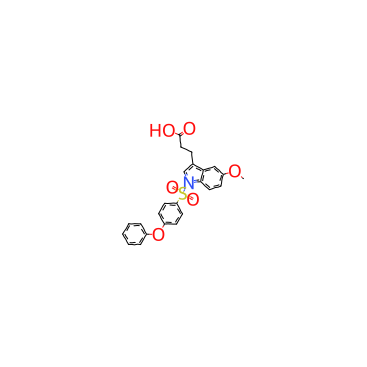 COc1ccc2c(c1)c(CCC(=O)O)cn2S(=O)(=O)c1ccc(Oc2ccccc2)cc1